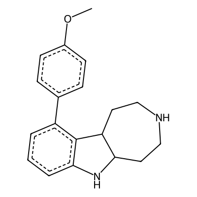 COc1ccc(-c2cccc3c2C2CCNCCC2N3)cc1